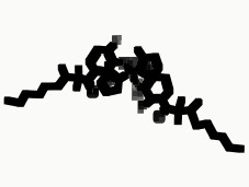 CCCCCCC(C)C(C)(C)C(=O)c1ccc(F)c([NH][Ti]([NH]c2c(F)ccc(C(=O)C(C)(C)C(C)CCCCCC)c2F)([C]2=C(C)C=CC2)[C]2=C(C)C=CC2)c1F